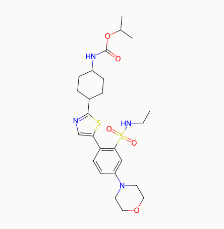 CCNS(=O)(=O)c1cc(N2CCOCC2)ccc1-c1cnc(C2CCC(NC(=O)OC(C)C)CC2)s1